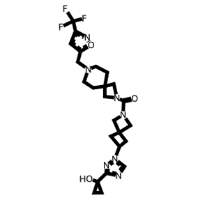 O=C(N1CC2(CCN(Cc3cc(C(F)(F)F)no3)CC2)C1)N1CC2(CC(n3cnc(C4(O)CC4)n3)C2)C1